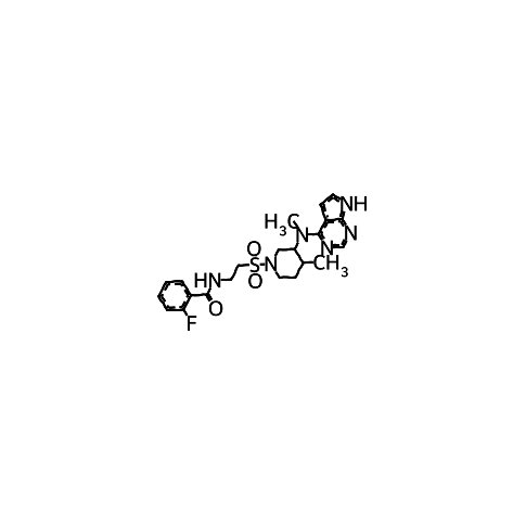 CC1CCN(S(=O)(=O)CCNC(=O)c2ccccc2F)CC1N(C)c1ncnc2[nH]ccc12